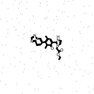 CCOC(=O)CN1C=CNC1C1=CC(C)=C(c2ccc3ncnn3c2)C(C)C1=O